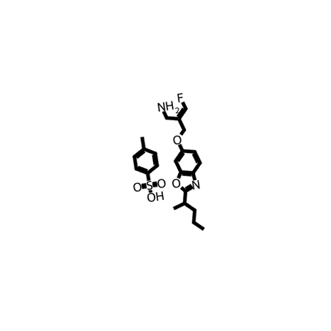 CCCC(C)c1nc2ccc(OC/C(=C/F)CN)cc2o1.Cc1ccc(S(=O)(=O)O)cc1